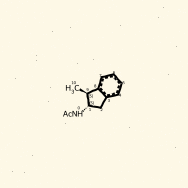 CC(=O)N[C@H]1Cc2ccccc2[C@@H]1C